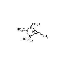 NCCCc1cc2nc(c1)CN(CC(=O)O)CCN(CC(=O)O)CCN(CC(=O)O)C2.[Gd]